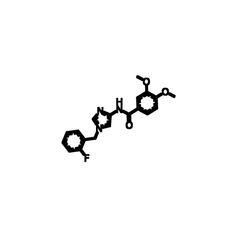 COc1ccc(C(=O)Nc2cn(Cc3ccccc3F)cn2)cc1OC